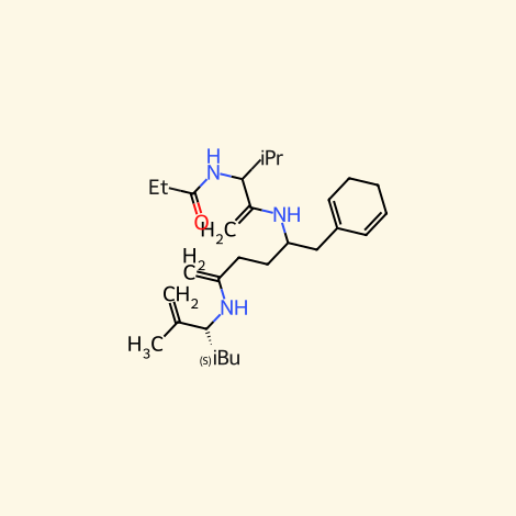 C=C(CCC(CC1=CCCC=C1)NC(=C)C(NC(=O)CC)C(C)C)NC(C(=C)C)[C@@H](C)CC